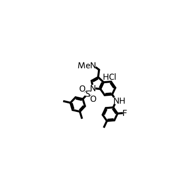 CNCc1cn(S(=O)(=O)c2cc(C)cc(C)c2)c2cc(Nc3ccc(C)cc3F)ccc12.Cl